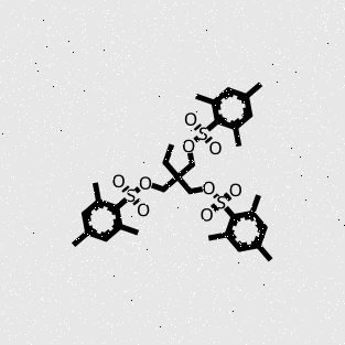 CCC(COS(=O)(=O)c1c(C)cc(C)cc1C)(COS(=O)(=O)c1c(C)cc(C)cc1C)COS(=O)(=O)c1c(C)cc(C)cc1C